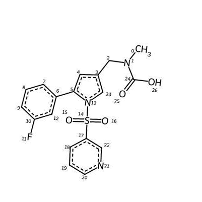 CN(Cc1cc(-c2cccc(F)c2)n(S(=O)(=O)c2cccnc2)c1)C(=O)O